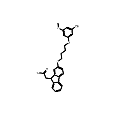 COc1cc(O)cc(OCCCCOc2ccc3c(c2)C(CC(=O)O)c2ccccc2-3)c1